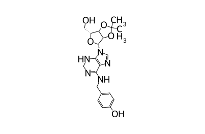 CC1(C)OC2C(O1)[C@@H](CO)O[C@H]2n1cnc2c1NCN=C2NCc1ccc(O)cc1